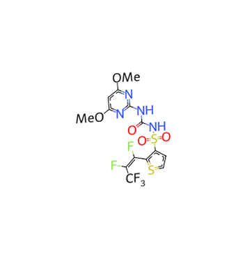 COc1cc(OC)nc(NC(=O)NS(=O)(=O)c2ccsc2/C(F)=C(/F)C(F)(F)F)n1